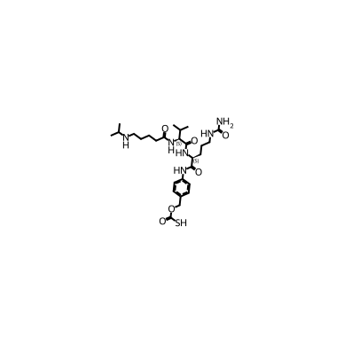 CC(C)NCCCCC(=O)N[C@H](C(=O)N[C@@H](CCCNC(N)=O)C(=O)Nc1ccc(COC(=O)S)cc1)C(C)C